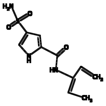 C=C/C(=C\C)NC(=O)c1cc(S(N)(=O)=O)c[nH]1